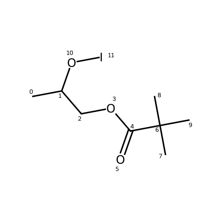 CC(COC(=O)C(C)(C)C)OI